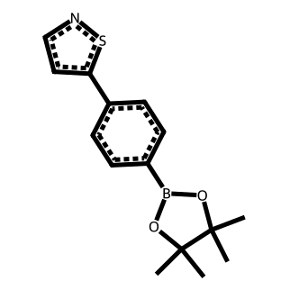 CC1(C)OB(c2ccc(-c3ccns3)cc2)OC1(C)C